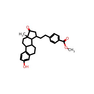 COC(=O)c1ccc(CCC2CC(=O)C3(C)CCC4c5ccc(O)cc5CCC4C23)cc1